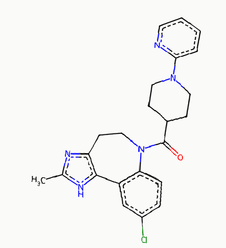 Cc1nc2c([nH]1)-c1cc(Cl)ccc1N(C(=O)C1CCN(c3ccccn3)CC1)CC2